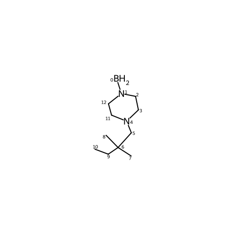 BN1CCN(CC(C)(C)CC)CC1